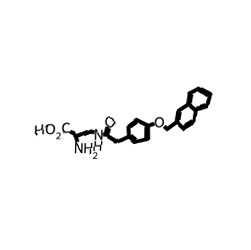 NC(CNC(=O)Cc1ccc(OCc2ccc3ccccc3c2)cc1)C(=O)O